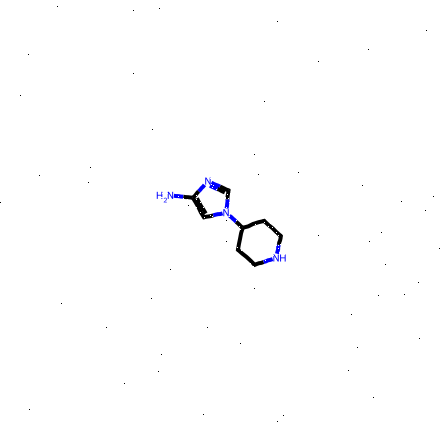 Nc1cn(C2CCNCC2)cn1